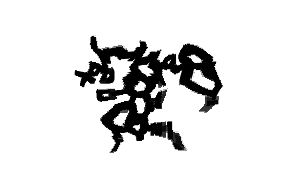 CN(CCN(C)c1nc(OC[C@@]23CCCN2C[C@H](F)C3)nc2c(F)c(-c3ccc(F)c4sc(N)c(C#N)c34)c(Cl)cc12)C(=O)OC(C)(C)C